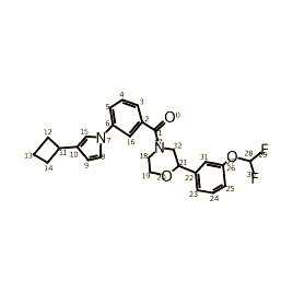 O=C(c1cccc(-n2ccc(C3CCC3)c2)c1)N1CCOC(c2cccc(OC(F)F)c2)C1